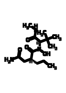 CCC[C@H](CC(N)=O)C(=O)N(O)[C@H](C(=O)NC)C(C)(C)C